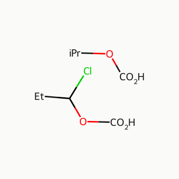 CC(C)OC(=O)O.CCC(Cl)OC(=O)O